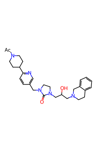 CC(=O)N1CCC(c2ccc(CN3CCN(CC(O)CN4CCc5ccccc5C4)C3=O)cn2)CC1